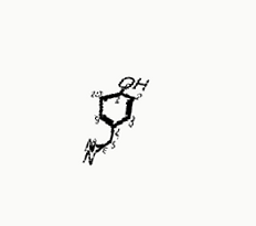 Oc1ccc(CC2N=N2)cc1